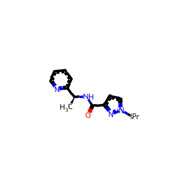 CC(C)n1ccc(C(=O)N[C@@H](C)c2ccccn2)n1